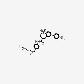 CCOCCCN(C)Cc1ccc(NC(=O)C2=Cc3cc(-c4ccc(SCC)cc4)ccc3S(=O)(=O)CC2)cc1